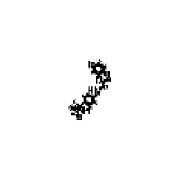 C[C@@H](NS(C)(=O)=O)c1ccc(CNCC2COc3ccc(F)cc3O2)cc1